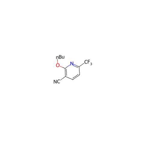 CCCCOc1nc(C(F)(F)F)ccc1C#N